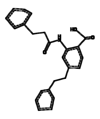 O=C(CCc1ccccc1)Nc1cc(CCc2ccccc2)ccc1C(=O)O